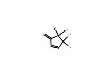 C=C1[C]=CC(F)(F)C1(F)F